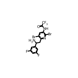 NC(Cc1nc(Br)c(NC(=O)C(F)(F)F)cc1Br)c1cc(F)cc(F)c1